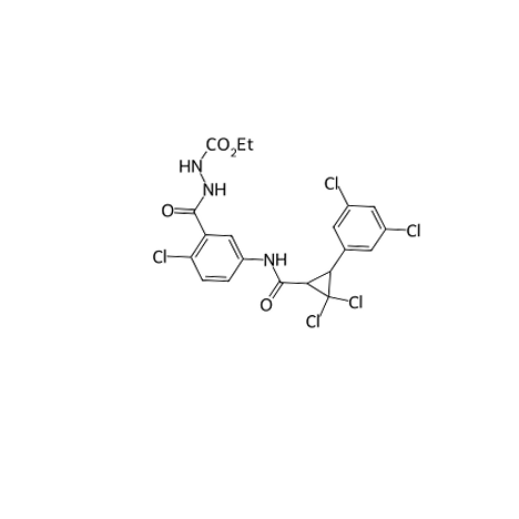 CCOC(=O)NNC(=O)c1cc(NC(=O)C2C(c3cc(Cl)cc(Cl)c3)C2(Cl)Cl)ccc1Cl